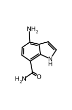 NC(=O)c1ccc(N)c2cc[nH]c12